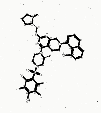 C[C@H]1CN(S(=O)(=O)c2c(F)c(F)c(C#N)c(F)c2F)CCN1c1nc(OC[C@@H]2CCCN2C)nc2c1CCN(c1cccc3cccc(Cl)c13)C2